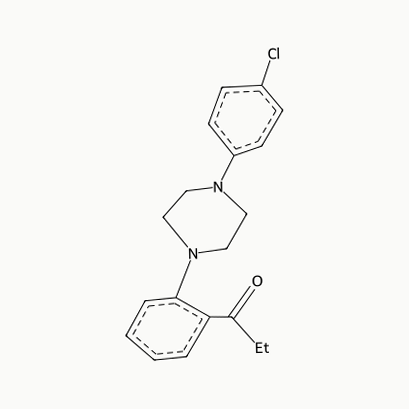 CCC(=O)c1ccccc1N1CCN(c2ccc(Cl)cc2)CC1